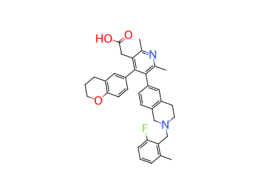 Cc1cccc(F)c1CN1CCc2cc(-c3c(C)nc(C)c(CC(=O)O)c3-c3ccc4c(c3)CCCO4)ccc2C1